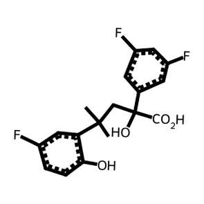 CC(C)(CC(O)(C(=O)O)c1cc(F)cc(F)c1)c1cc(F)ccc1O